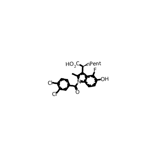 CCCCC[C@H](C(=O)O)c1c(C)n(C(=O)c2ccc(Cl)c(Cl)c2)c2ccc(O)c(F)c12